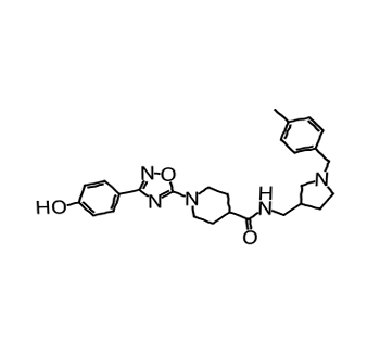 Cc1ccc(CN2CCC(CNC(=O)C3CCN(c4nc(-c5ccc(O)cc5)no4)CC3)C2)cc1